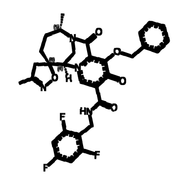 CC1=NO[C@]2(CC[C@H](C)N3C[C@H]2n2cc(C(=O)NCc4c(F)cc(F)cc4F)c(=O)c(OCc4ccccc4)c2C3=O)C1